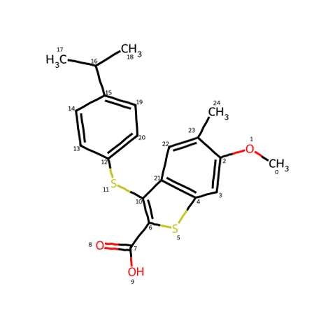 COc1cc2sc(C(=O)O)c(Sc3ccc(C(C)C)cc3)c2cc1C